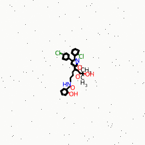 CC(C)(O)C(=O)c1oc2nc(-c3ccccc3Cl)c(-c3ccc(Cl)cc3)cc2c1CCCCNC(=O)c1ccccc1O